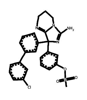 CS(=O)(=O)Oc1cccc(C2(c3cccc(-c4cccc(Cl)c4)c3)N=C(N)N3CCCN=C32)c1